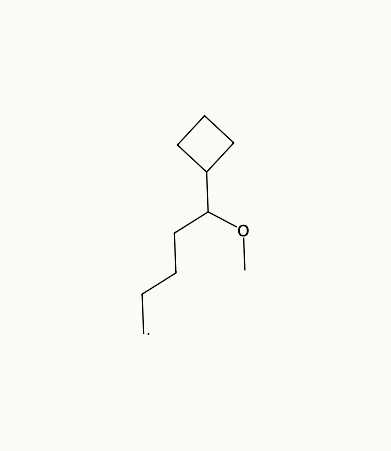 [CH2]CCCC(OC)C1CCC1